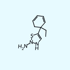 CCC1(C2=CNN(N)S2)C=CC=CC1